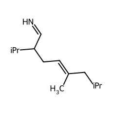 C/C(=C\CC(C=N)C(C)C)CC(C)C